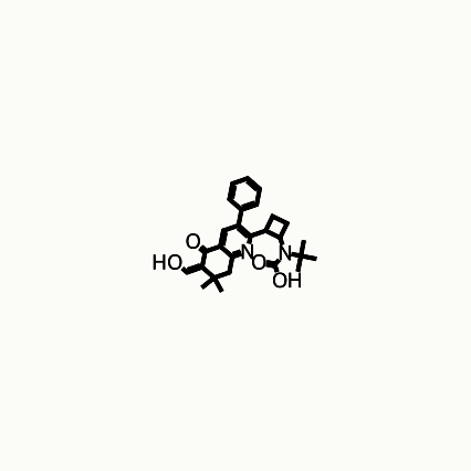 CC1(C)Cc2nc(C3CCC3N(C(=O)O)C(C)(C)C)c(-c3ccccc3)cc2C(=O)C1=CO